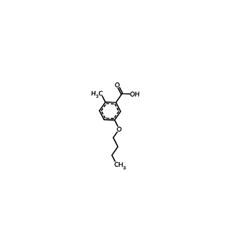 CCCCOc1ccc(C)c(C(=O)O)c1